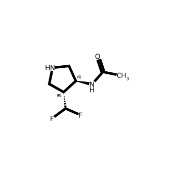 CC(=O)N[C@@H]1CNC[C@H]1C(F)F